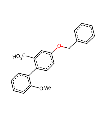 COc1ccccc1-c1ccc(OCc2ccccc2)cc1C(=O)O